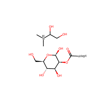 CCCCCCCC(=O)O[C@H]1[C@@H](O)[C@H](O)[C@@H](CO)O[C@H]1O.C[SiH](C)C(O)CO